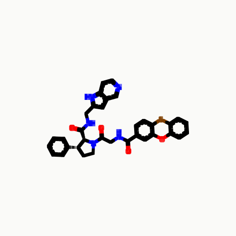 O=C(NCC(=O)N1CC[C@H](c2ccccc2)[C@H]1C(=O)NCc1cc2cnccc2[nH]1)c1ccc2c(c1)Oc1ccccc1S2